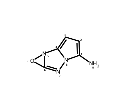 Nc1ccc2n3c(nn12)O3